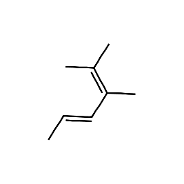 CC=CC(C)=C(C)C